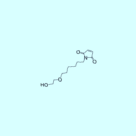 O=C1C=CC(=O)N1CCCCCCOCCO